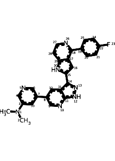 CN(C)c1cncc(-c2cnc3[nH]nc(-c4cc5c(-c6ccc(F)cc6)nccc5[nH]4)c3c2)c1